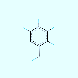 F[C]c1cc(F)c(F)c(F)c1F